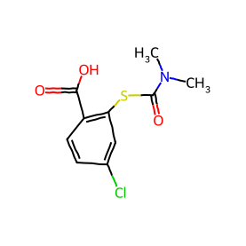 CN(C)C(=O)Sc1cc(Cl)ccc1C(=O)O